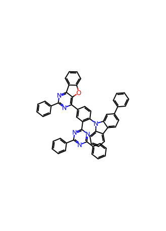 c1ccc(-c2ccc3c4ccccc4n(-c4ccc(-c5nc(-c6ccccc6)nc6c5oc5ccccc56)cc4-c4nc(-c5ccccc5)nc(-c5ccccc5)n4)c3c2)cc1